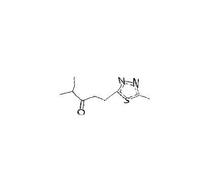 Cc1nnc(CCC(=O)C(C)C)s1